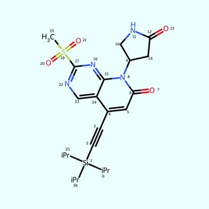 CC(C)[Si](C#Cc1cc(=O)n(C2CNC(=O)C2)c2nc(S(C)(=O)=O)ncc12)(C(C)C)C(C)C